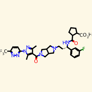 Cc1nn(-c2ccc(C(F)(F)F)nn2)c(C)c1C(=O)N1CC2CN(CC[C@H](NC(=O)C3CCCC3C(=O)O)c3cccc(F)c3)CC2C1